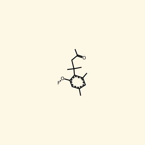 CC(=O)CC(C)(C)c1c(C)cc(C)cc1OF